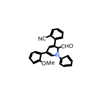 COc1ccccc1C1=CN(c2ccccc2)C(C=O)C(c2ccccc2C#N)=C1